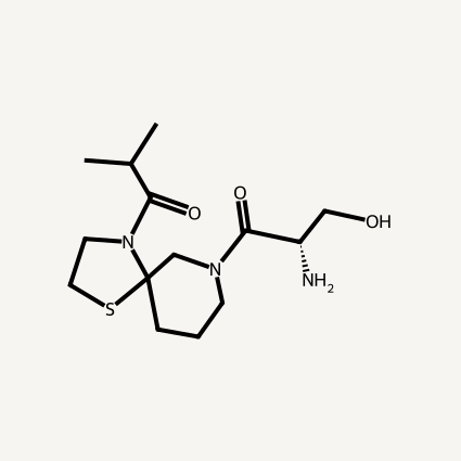 CC(C)C(=O)N1CCSC12CCCN(C(=O)[C@@H](N)CO)C2